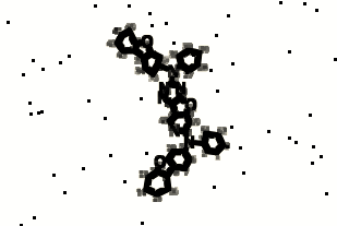 c1ccc(N(c2ccc3c(c2)oc2ccccc23)c2cc3oc4nc(N(c5ccccc5)c5ccc6c(c5)oc5ccccc56)nnc4c3cn2)cc1